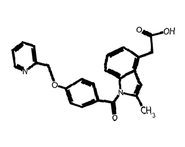 Cc1cc2c(CC(=O)O)cccc2n1C(=O)c1ccc(OCc2ccccn2)cc1